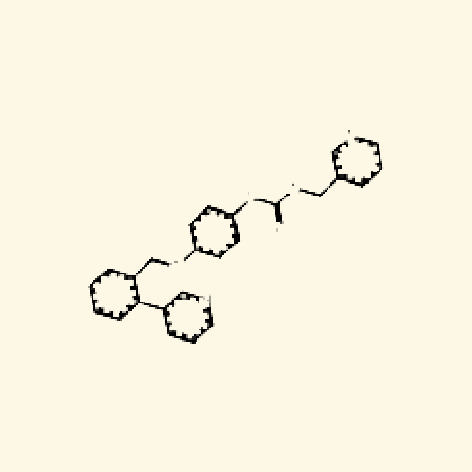 O=C(NCc1cccnc1)Nc1ccc(OCc2ccccc2-c2cccnc2)cc1